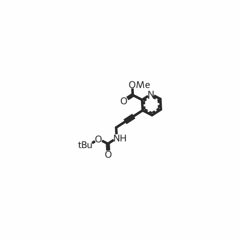 COC(=O)c1ncccc1C#CCNC(=O)OC(C)(C)C